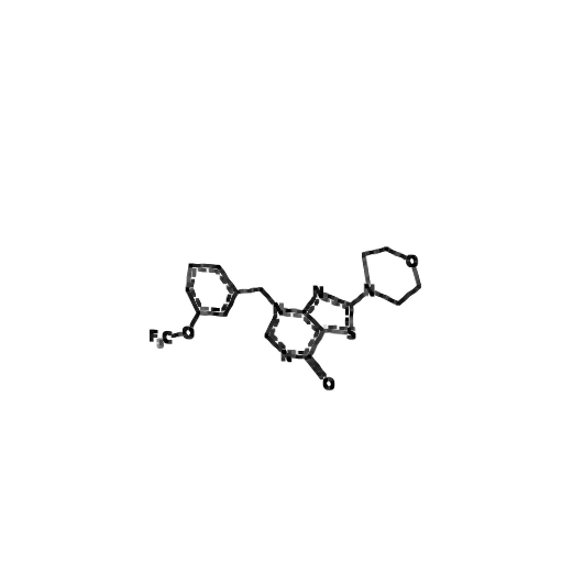 O=c1ncn(Cc2cccc(OC(F)(F)F)c2)c2nc(N3CCOCC3)sc12